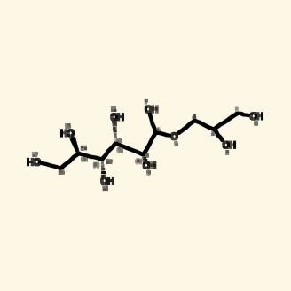 OCC(O)COC(O)[C@H](O)[C@@H](O)[C@H](O)[C@H](O)CO